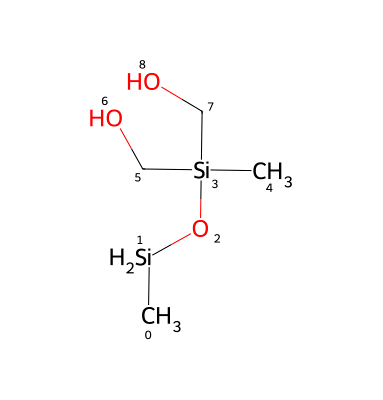 C[SiH2]O[Si](C)(CO)CO